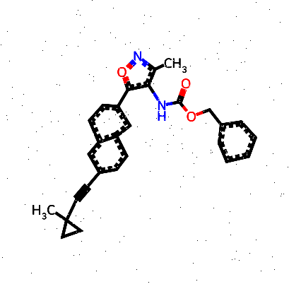 Cc1noc(-c2ccc3cc(C#CC4(C)CC4)ccc3c2)c1NC(=O)OCc1ccccc1